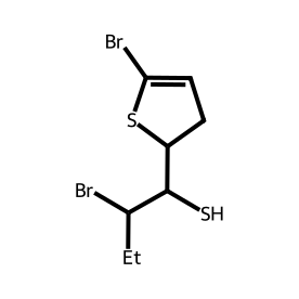 CCC(Br)C(S)C1CC=C(Br)S1